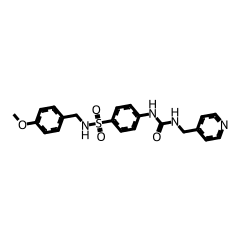 COc1ccc(CNS(=O)(=O)c2ccc(NC(=O)NCc3ccncc3)cc2)cc1